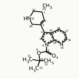 C[C@@H]1C=C(c2cn(C(=O)OC(C)(C)C)c3ncccc23)CNC1